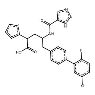 O=C(NC(Cc1ccc(-c2cc(Cl)ccc2F)cc1)CC(C(=O)O)c1cccs1)c1cnn[nH]1